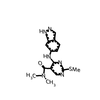 CSc1ncc(C(=O)N(C)C)c(Nc2ccc3cn[nH]c3c2)n1